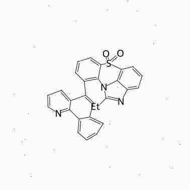 CCc1nc2cccc3c2n1-c1c(-c2cc4ccccc4c4ncccc24)cccc1S3(=O)=O